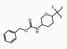 O=C(NC1CCC(C(F)(F)F)OC1)OCc1ccccc1